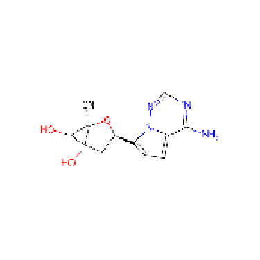 N#C[C@]12O[C@@H](c3ccc4c(N)ncnn34)C[C@@]1(O)C2O